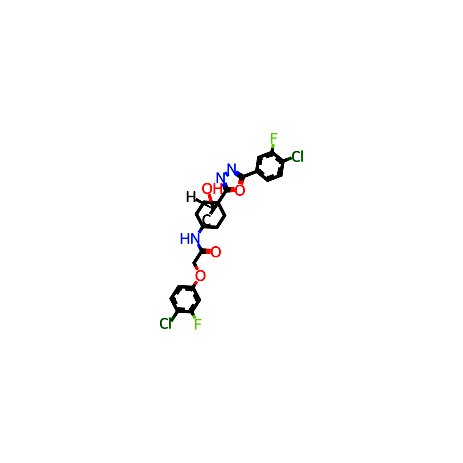 O=C(COc1ccc(Cl)c(F)c1)NC12CCC(c3nnc(-c4ccc(Cl)c(F)c4)o3)(CC1)[C@@H](O)C2